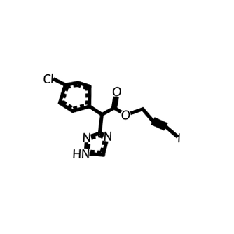 O=C(OCC#CI)C(c1ccc(Cl)cc1)c1nc[nH]n1